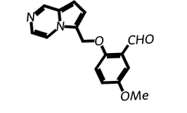 COc1ccc(OCc2ccc3cnccn23)c(C=O)c1